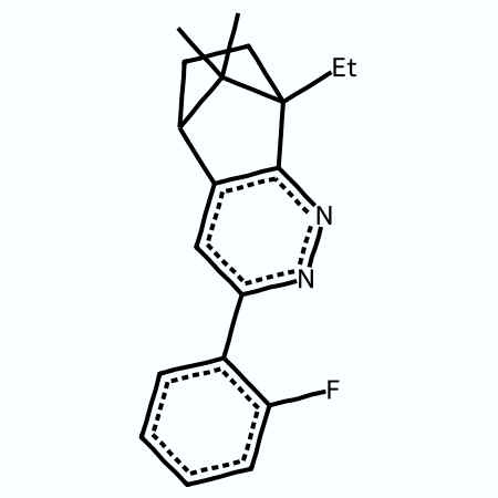 CCC12CCC(c3cc(-c4ccccc4F)nnc31)C2(C)C